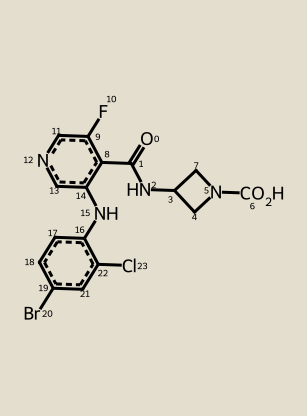 O=C(NC1CN(C(=O)O)C1)c1c(F)cncc1Nc1ccc(Br)cc1Cl